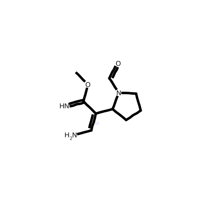 COC(=N)/C(=C\N)C1CCCN1C=O